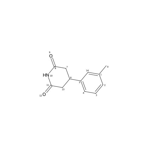 Cc1cccc(C2CC(=O)NC(=O)C2)c1